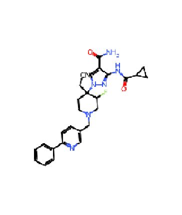 N#CCC1(n2cc(C(N)=O)c(NC(=O)C3CC3)n2)CCN(Cc2ccc(-c3ccccc3)nc2)CC1F